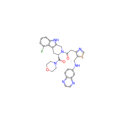 O=C([C@H]1Cc2c([nH]c3cccc(F)c23)CN1C(=O)Cc1ncsc1CNc1ccc2nccnc2c1)N1CCOCC1